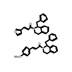 COc1ccc(C=CC(=O)N2CCc3ccccc3C2Cc2ccccc2)cc1.O=C(C=Cc1ccoc1)N1CCc2ccccc2C1Cc1ccccc1